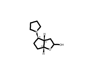 OC1C[C@H]2[C@H](N3CCCC3)CC[C@H]2O1